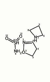 C1=NOCC1.C1CNC1.N[SH](=O)=O